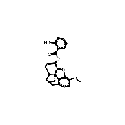 COc1ccc2c3c1OC1C(OC(=O)c4ccccc4N)=CCC4C(CCCC314)C2